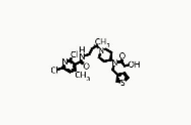 Cc1cc(Cl)nc(Cl)c1C(=O)NCC[C@@H](C)N1CCC(N(Cc2ccsc2)C(=O)CO)CC1